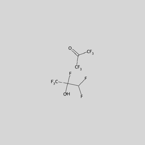 O=C(C(F)(F)F)C(F)(F)F.OC(F)(C(F)F)C(F)(F)F